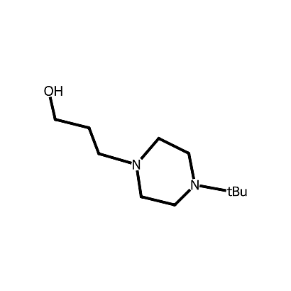 CC(C)(C)N1CCN(CCCO)CC1